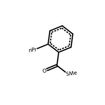 CCCc1ccccc1C(=O)SC